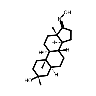 C[C@@]1(O)CC[C@@]2(C)[C@@H](CC[C@@H]3[C@@H]2CC[C@]2(C)C(=NO)CC[C@@H]32)C1